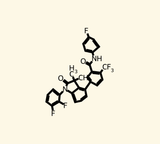 CC1(C)C(=O)N(c2cccc(F)c2F)c2cccc(-c3ccc(C(F)(F)F)c(C(=O)Nc4ccc(F)cc4)c3)c21